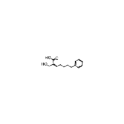 O=C(O)C(=CCCCCc1ccccc1)CO